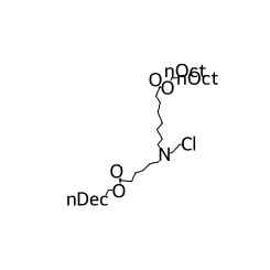 CCCCCCCCCCCOC(=O)CCCCCN(CCCl)CCCCCCCC(=O)OC(CCCCCCCC)CCCCCCCC